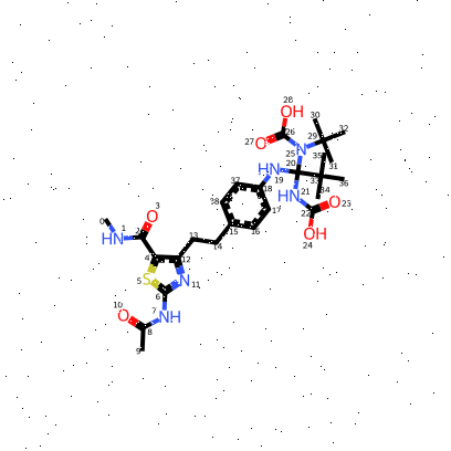 CNC(=O)c1sc(NC(C)=O)nc1CCc1ccc(NC(NC(=O)O)(N(C(=O)O)C(C)(C)C)C(C)(C)C)cc1